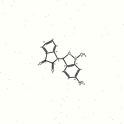 CN1OC(N2C(=O)C(=O)c3ccccc32)c2ccc([N+](=O)[O-])cc21